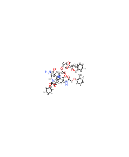 Cc1ccccc1OCC(=O)NC(CC(C)C)C(=O)N[C@@H](CC1(C(N)=O)CCN(C(=O)Oc2ccccc2)CC1)C(=O)OC(C)OC(=O)C(C)OCc1ccccc1